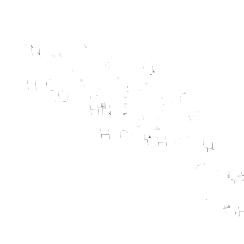 COc1c(C#N)ccc2c3c([nH]c12)C(C)(C)c1cc(OC[C@H](O)CO)ccc1C3=O